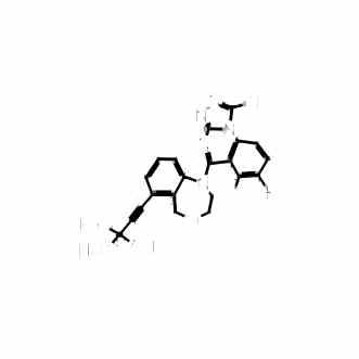 Cc1nnc2nc(N3CCOCc4c(C#CC(C)(C)C(F)(F)F)cccc43)c3c(F)c(F)ccc3n12